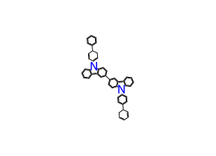 C1=CCC(c2ccc(-n3c4ccccc4c4cc(-c5ccc6c(c5)c5ccccc5n6C5=CCC(c6ccccc6)C=C5)ccc43)cc2)C=C1